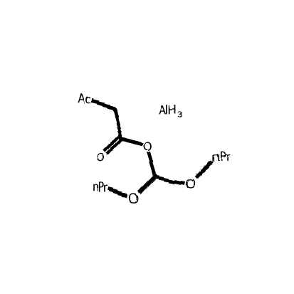 CCCOC(OCCC)OC(=O)CC(C)=O.[AlH3]